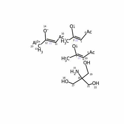 CC(=O)/C=C(/C)[O-].CC(=O)/C=C(/C)[O-].CC(=O)/C=C(/C)[O-].NC(CO)(CO)CO.[Al+3]